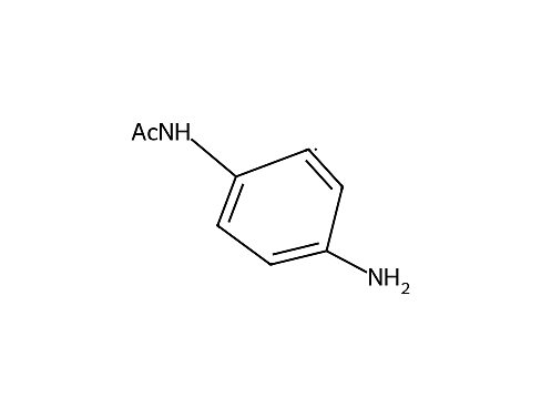 CC(=O)Nc1[c]cc(N)cc1